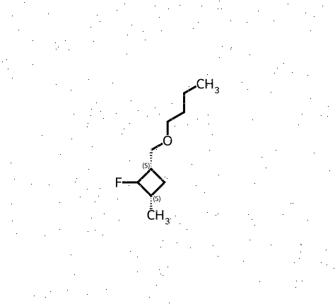 CCCCOC[C@@H]1C[C@H](C)C1F